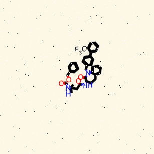 CC(C)(CC(=O)NC1CCc2ccccc2N(Cc2ccc(-c3ccccc3C(F)(F)F)cc2)C1=O)NC(=O)OCc1ccccc1